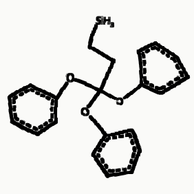 [SiH3]CCC(Oc1ccccc1)(Oc1ccccc1)Oc1ccccc1